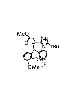 COC(=O)CC1SC(c2cccc(OC)c2OC)c2cc(C(F)(F)F)ccc2-n2c1nnc2C(C)(C)C